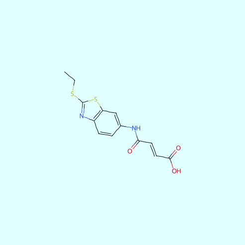 CCSc1nc2ccc(NC(=O)/C=C/C(=O)O)cc2s1